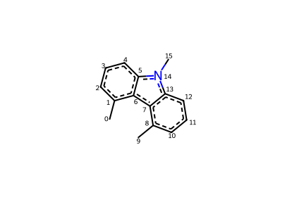 Cc1cccc2c1c1c(C)cccc1n2C